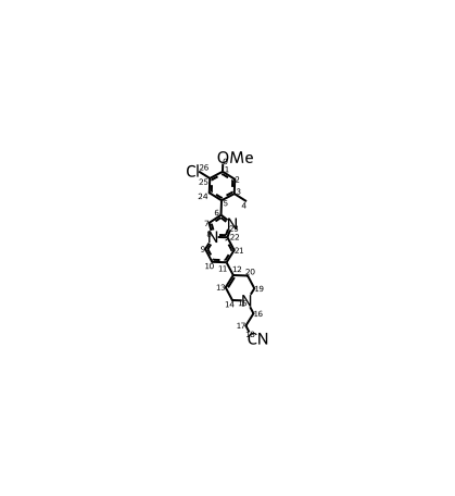 COc1cc(C)c(-c2cn3ccc(C4=CCN(CCC#N)CC4)cc3n2)cc1Cl